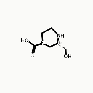 O=C(O)N1CCN[C@H](CO)C1